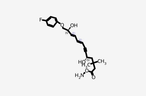 CC(C)(CC(=O)ON)C[C@H](O)C#C/C=C/C=C/[C@H](O)COc1ccc(F)cc1